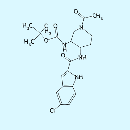 CC(=O)N1CCC(NC(=O)c2cc3cc(Cl)ccc3[nH]2)C(NC(=O)OC(C)(C)C)C1